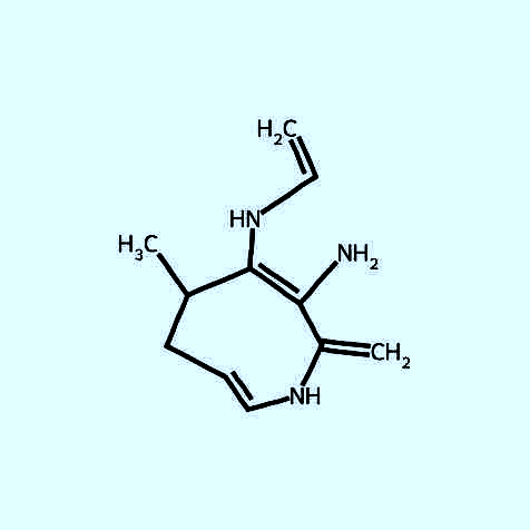 C=CN/C1=C(\N)C(=C)N/C=C/CC1C